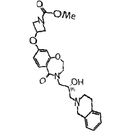 COC(=O)N1CC(Oc2ccc3c(c2)OCCN(C[C@H](O)CN2CCc4ccccc4C2)C3=O)C1